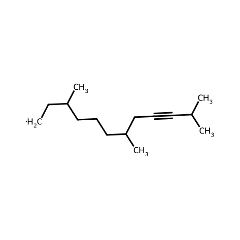 [CH2]CC(C)CCCC(C)CC#CC(C)C